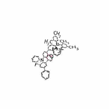 Cc1ccc(B(c2c(C)cc(C)cc2C)c2ccc3c4c(cccc24)Oc2cc(N(c4ccccc4)c4c(F)cc(-c5ccccc5)cc4-c4ccccc4)ccc2-3)c(C)c1